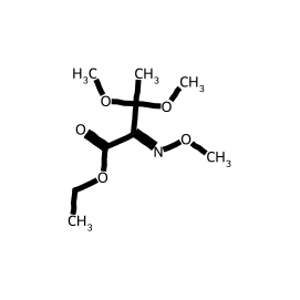 CCOC(=O)C(=NOC)C(C)(OC)OC